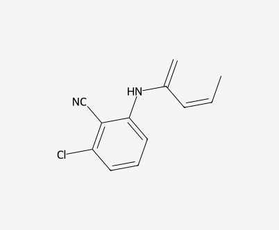 C=C(/C=C\C)Nc1cccc(Cl)c1C#N